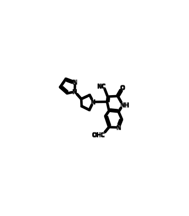 N#Cc1c(N2CCC(n3cccn3)C2)c2cc(C=O)ncc2[nH]c1=O